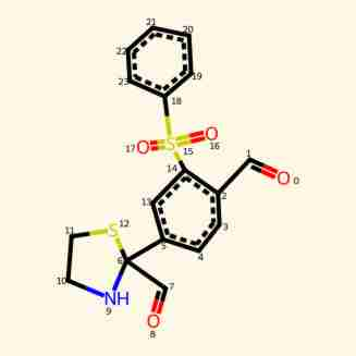 O=Cc1ccc(C2(C=O)NCCS2)cc1S(=O)(=O)c1ccccc1